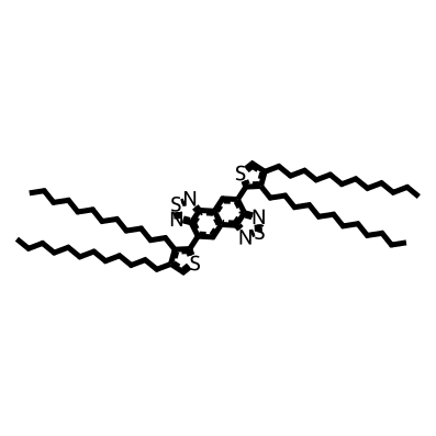 CCCCCCCCCCCCc1csc(-c2cc3c(cc(-c4scc(CCCCCCCCCCCC)c4CCCCCCCCCCCC)c4nsnc43)c3nsnc23)c1CCCCCCCCCCCC